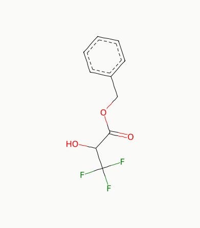 O=C(OCc1ccccc1)C(O)C(F)(F)F